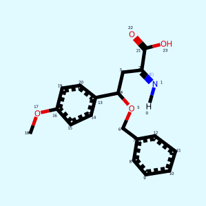 [H]/N=C(\CC(OCc1ccccc1)c1ccc(OC)cc1)C(=O)O